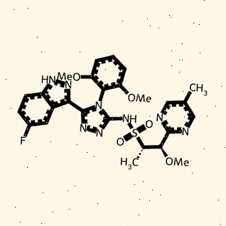 COc1cccc(OC)c1-n1c(NS(=O)(=O)[C@@H](C)[C@H](OC)c2ncc(C)cn2)nnc1-c1n[nH]c2ccc(F)cc12